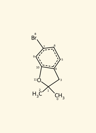 CC1(C)Cc2ccc(Br)cc2O1